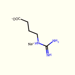 N=C(N)NCCCC(=O)[O-].[Na+]